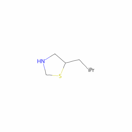 CC(C)CC1CNCS1